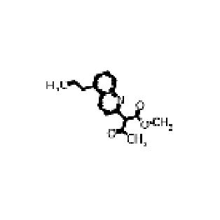 C=CCc1cccc2nc(C(C(C)=O)C(=O)OC)ccc12